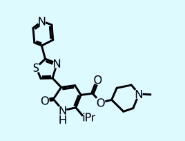 CC(C)c1[nH]c(=O)c(-c2csc(-c3ccncc3)n2)cc1C(=O)OC1CCN(C)CC1